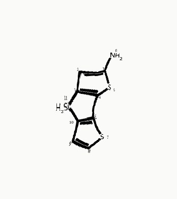 Nc1cc2c(s1)-c1sccc1[SiH2]2